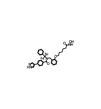 [2H]C([2H])(c1ccccc1)N(Cc1ccccc1OCCCCCC(=O)NO)C(=O)c1ccc(-c2cn[nH]c2)cc1